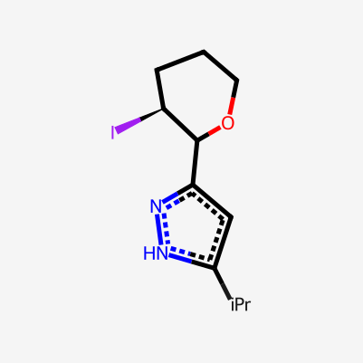 CC(C)c1cc(C2OCCC[C@@H]2I)n[nH]1